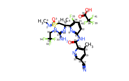 CN=S1(=O)C[C@@](C)(c2nc(NC(=O)c3ncc(C#N)cc3C)ccc2F)N=C(N)N1CC(F)(F)F.O=C(O)C(F)(F)F